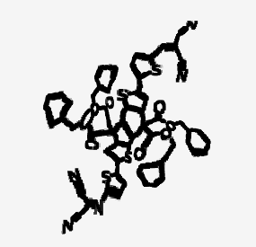 N#CC(C#N)=Cc1ccc(-c2cc3c(s2)C2=C(c4sc(-c5ccc(N=C(C#N)C#N)s5)cc4C2(C(=O)OCc2ccccc2)C(=O)OCc2ccccc2)C3(C(=O)OCc2ccccc2)C(=O)OCc2ccccc2)s1